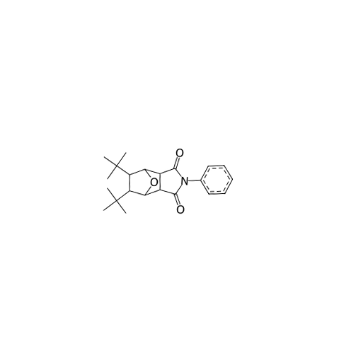 CC(C)(C)C1C2OC(C3C(=O)N(c4ccccc4)C(=O)C23)C1C(C)(C)C